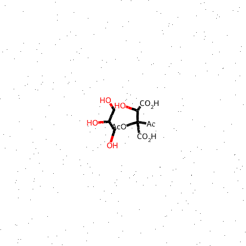 CC(=O)OC(C(C)=O)(C(=O)O)C(O)C(=O)O.OCC(O)CO